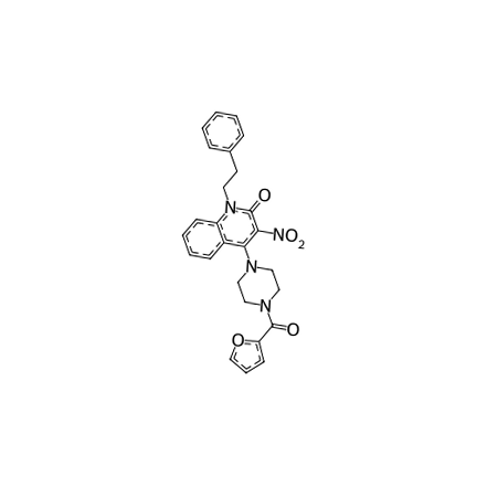 O=C(c1ccco1)N1CCN(c2c([N+](=O)[O-])c(=O)n(CCc3ccccc3)c3ccccc23)CC1